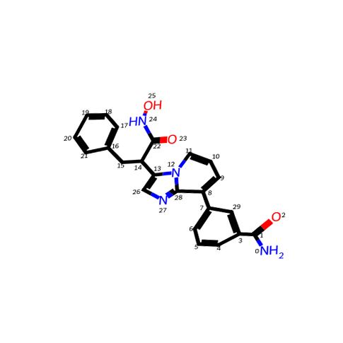 NC(=O)c1cccc(-c2cccn3c(C(Cc4ccccc4)C(=O)NO)cnc23)c1